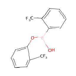 OB(Oc1ccccc1C(F)(F)F)c1ccccc1C(F)(F)F